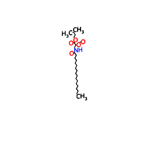 CCCCCCCCCCCCCCCCCC(=O)NCC(OC=O)C(=O)OCCC(C)C